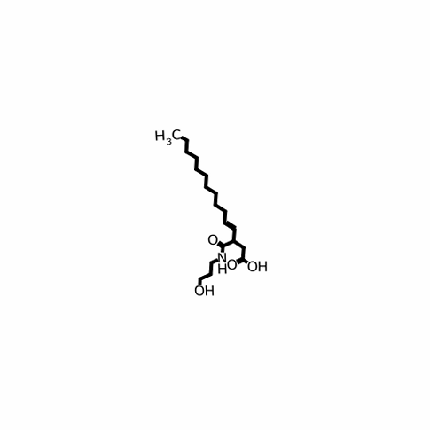 CCCCCCCCCCC=CC(CC(=O)O)C(=O)NCCCO